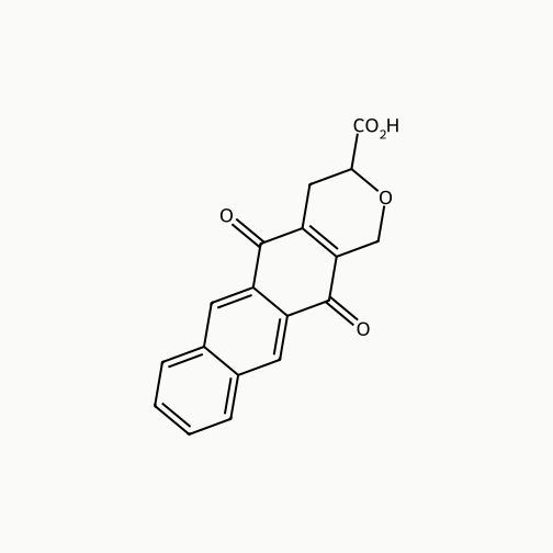 O=C1C2=C(CC(C(=O)O)OC2)C(=O)c2cc3ccccc3cc21